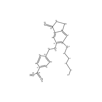 CCCCCOc1cc2c(cc1OCc1ccc(C(=O)O)cc1)C(=O)CC2